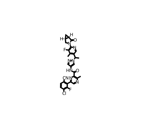 Cc1ncc(-c2c(C#N)ccc(Cl)c2F)nc1C(=O)Nc1cnn(C(C)c2cnc(N3C[C@H]4C[C@H]4C3=O)c(F)c2C)c1